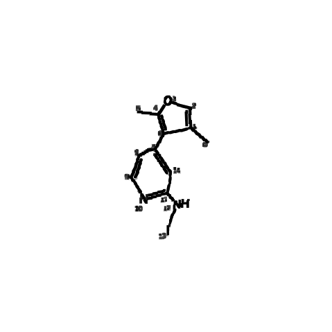 Cc1coc(C)c1-c1ccnc(NI)c1